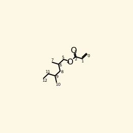 C=CC(=O)OCC(C)CC(C)CC